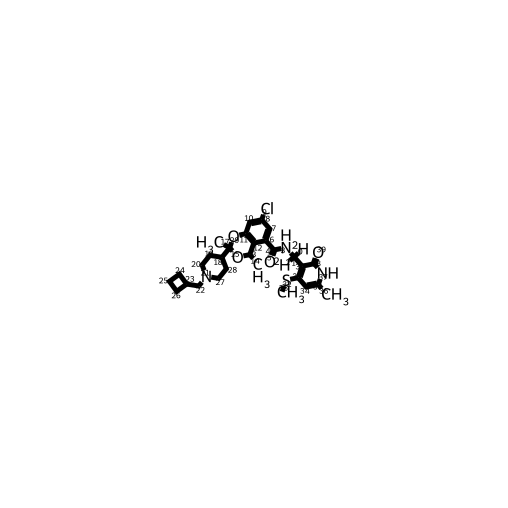 [2H]C([2H])(NC(=O)c1cc(Cl)cc2c1C(C)OC(C)(C1CCN(CC3CCC3)CC1)O2)c1c(SC)cc(C)[nH]c1=O